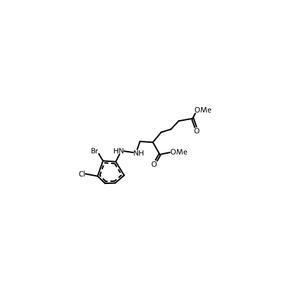 COC(=O)CCCC(CNNc1cccc(Cl)c1Br)C(=O)OC